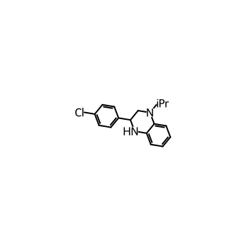 CC(C)N1CC(c2ccc(Cl)cc2)Nc2ccccc21